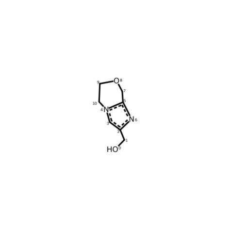 OCc1cn2c(n1)COCC2